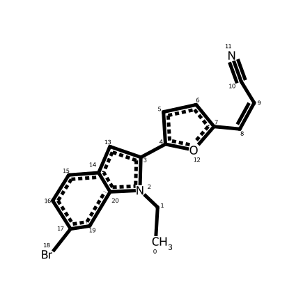 CCn1c(-c2ccc(/C=C\C#N)o2)cc2ccc(Br)cc21